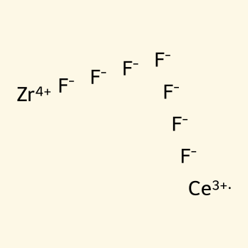 [Ce+3].[F-].[F-].[F-].[F-].[F-].[F-].[F-].[Zr+4]